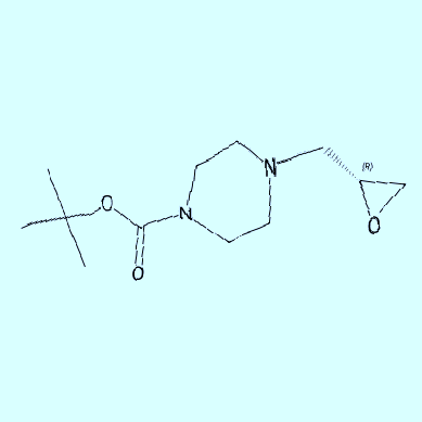 CC(C)(C)OC(=O)N1CCN(C[C@@H]2CO2)CC1